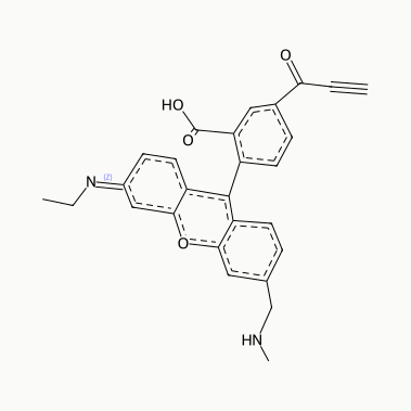 C#CC(=O)c1ccc(-c2c3cc/c(=N/CC)cc-3oc3cc(CNC)ccc23)c(C(=O)O)c1